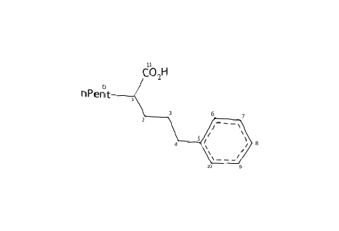 CCCCCC(CCCc1ccccc1)C(=O)O